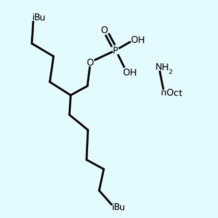 CCC(C)CCCCCC(CCCC(C)CC)COP(=O)(O)O.CCCCCCCCN